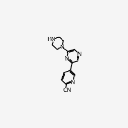 N#Cc1ccc(-c2cncc(N3CCNCC3)n2)cn1